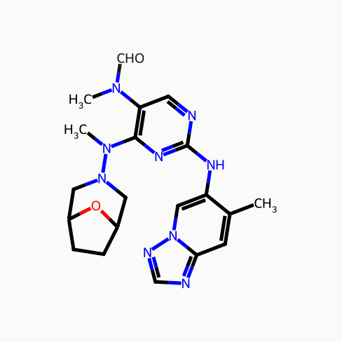 Cc1cc2ncnn2cc1Nc1ncc(N(C)C=O)c(N(C)N2CC3CCC(C2)O3)n1